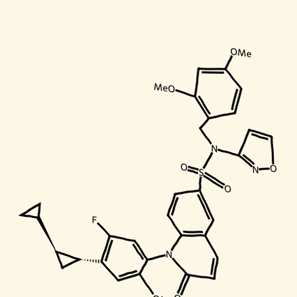 COc1ccc(CN(c2ccon2)S(=O)(=O)c2ccc3c(ccc(=O)n3-c3cc(F)c([C@@H]4C[C@H]4C4CC4)cc3OC)c2)c(OC)c1